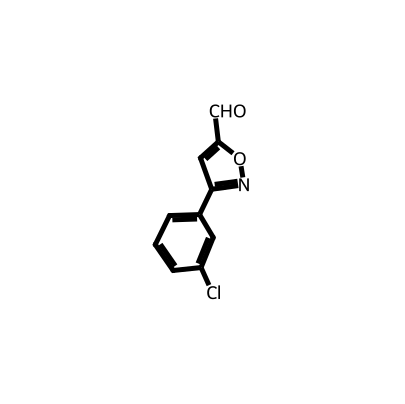 O=Cc1cc(-c2cccc(Cl)c2)no1